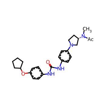 CC(=O)N(C)[C@H]1CCN(c2ccc(NC(=O)Nc3ccc(OC4CCCC4)cc3)cc2)C1